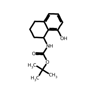 CC(C)(C)OC(=O)NC1CCCc2cccc(O)c21